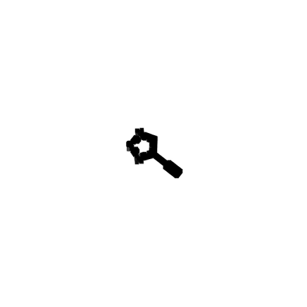 C#Cc1cnsn1